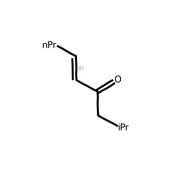 CCC/C=C/C(=O)CC(C)C